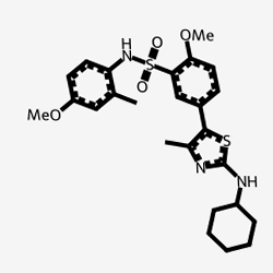 COc1ccc(NS(=O)(=O)c2cc(-c3sc(NC4CCCCC4)nc3C)ccc2OC)c(C)c1